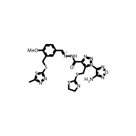 COc1ccc(/C=N/NC(=O)c2nnn(-c3nonc3N)c2CSC2=NCCS2)cc1CSc1nnc(C)s1